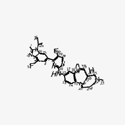 Cc1nc2c(F)cc(-c3nc(Nc4ccc5c(c4)OC[C@H]4CN(C)CCN54)ncc3F)cc2n1C(C)C